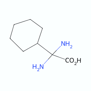 NC(N)(C(=O)O)C1CCCCC1